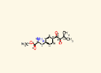 COC(=O)[C@@H](N)Cc1ccc(C(=O)C(=O)C(C)C)cc1